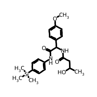 COc1ccc(C(NC(=O)CC(C)O)C(=O)Nc2ccc([Si](C)(C)C)cc2)cc1